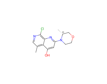 Cc1cnc(Cl)c2nc(N3CCOC[C@H]3C)cc(O)c12